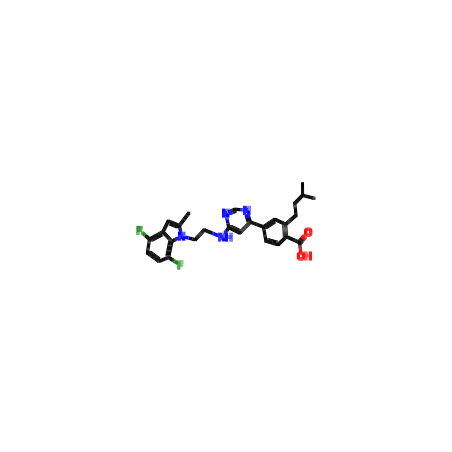 Cc1cc2c(F)ccc(F)c2n1CCNc1cc(-c2ccc(C(=O)O)c(CCC(C)C)c2)ncn1